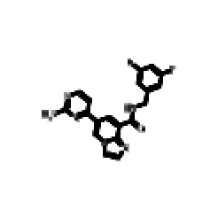 Nc1nccc(-c2cc(C(=O)NCc3cc(F)cc(F)c3)c3nccn3c2)n1